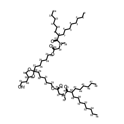 CCCCCCCCC(CCCCCC)C(=O)N(C)CC(=O)OCCCCCC1(CCCCCOC(=O)CN(C)C(=O)C(CCCCCC)CCCCCCCC)OCC(CCO)O1